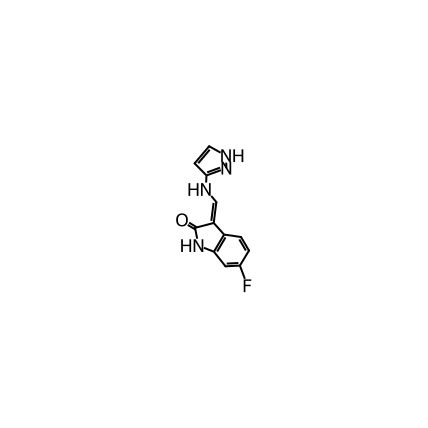 O=C1Nc2cc(F)ccc2C1=CNc1cc[nH]n1